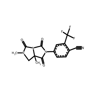 CN1CC2(C)C(=O)N(c3ccc(C#N)c(C(F)(F)F)c3)C(=O)N2C1=O